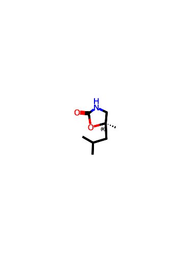 CC(C)C[C@]1(C)CNC(=O)O1